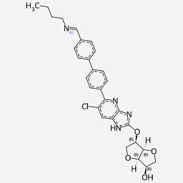 CCCC/N=C/c1ccc(-c2ccc(-c3nc4nc(O[C@@H]5CO[C@H]6[C@@H]5OC[C@H]6O)[nH]c4cc3Cl)cc2)cc1